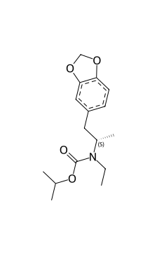 CCN(C(=O)OC(C)C)[C@@H](C)Cc1ccc2c(c1)OCO2